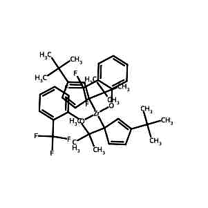 CC(C)(C)C1=C[C](C(C)(C)C)([Zr]([O]c2ccccc2C(F)(F)F)([O]c2ccccc2C(F)(F)F)[C]2(C(C)(C)C)C=CC(C(C)(C)C)=C2)C=C1